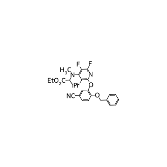 CCOC(=O)C(C(C)C)N(C)c1c(F)c(F)nc(Oc2cc(C#N)ccc2OCc2ccccc2)c1F